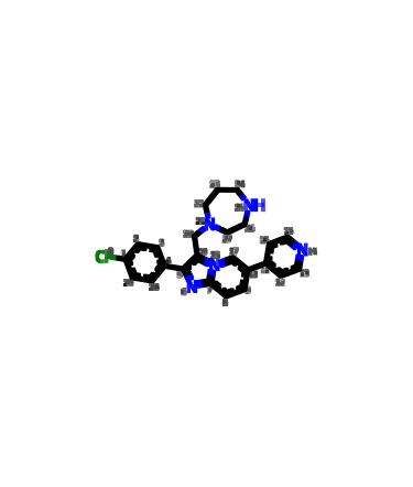 Clc1ccc(-c2nc3ccc(-c4ccncc4)cn3c2CN2CCCNCC2)cc1